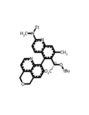 CCN(C)c1ccc2c(-c3ccc4c5c(ccnc35)COC4)c([C@H](OC(C)(C)C)C(=O)O)c(C)cc2n1